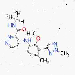 [2H]C([2H])([2H])NC(=O)c1nnccc1Nc1ccc(C)c(-c2cnn(C)n2)c1OC